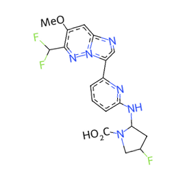 COc1cc2ncc(-c3cccc(NC4CC(F)CN4C(=O)O)n3)n2nc1C(F)F